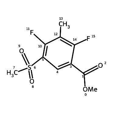 COC(=O)c1cc(S(C)(=O)=O)c(F)c(C)c1F